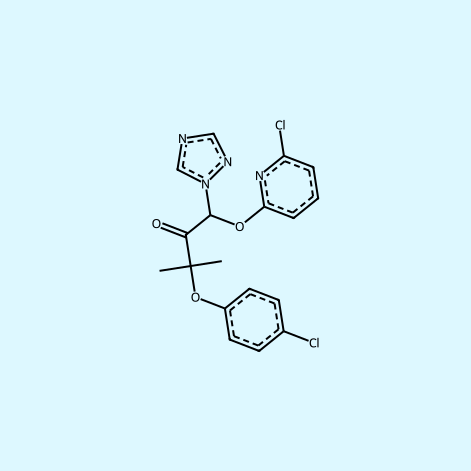 CC(C)(Oc1ccc(Cl)cc1)C(=O)C(Oc1cccc(Cl)n1)n1cncn1